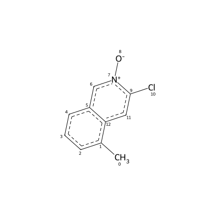 Cc1cccc2c[n+]([O-])c(Cl)cc12